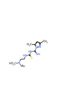 Cc1cc(C)n(C(=N)NC(=S)NCCN(C(=O)O)C(C)(C)C)n1